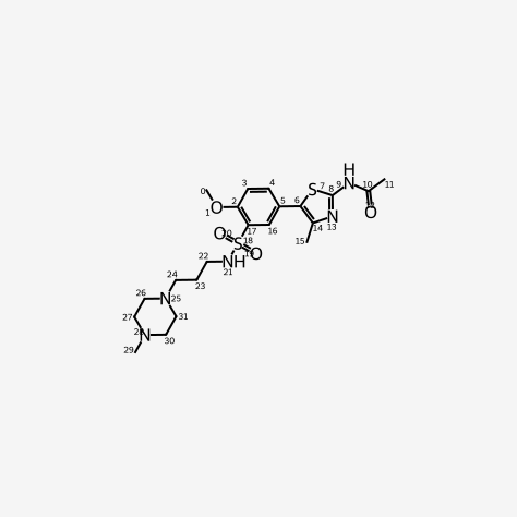 COc1ccc(-c2sc(NC(C)=O)nc2C)cc1S(=O)(=O)NCCCN1CCN(C)CC1